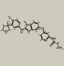 Cn1c(Nc2ccc(F)c(C3(C)CCOC3)c2)nc2cc(Oc3ccnc(NC(=O)CN)c3)ccc21